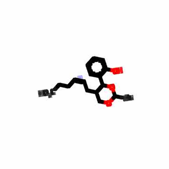 CC(C)(C)C1OCC(C/C=C\CCC(=O)O)C(c2ccccc2O)O1